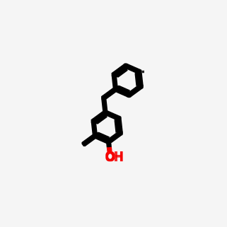 Cc1cc(Cc2cc[c]cc2)ccc1O